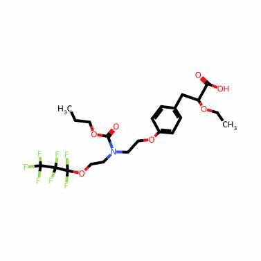 CCCOC(=O)N(CCOc1ccc(CC(OCC)C(=O)O)cc1)CCOC(F)(F)C(F)(F)C(F)(F)F